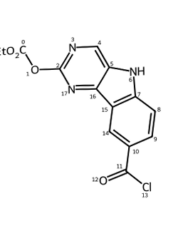 CCOC(=O)Oc1ncc2[nH]c3ccc(C(=O)Cl)cc3c2n1